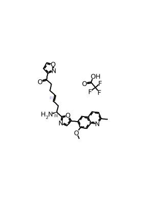 COc1cc2nc(C)ccc2cc1-c1cnc([C@@H](N)C/C=C/CCC(=O)c2ccon2)o1.O=C(O)C(F)(F)F